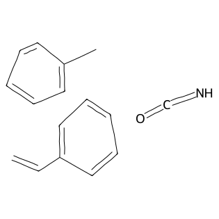 C=Cc1ccccc1.Cc1ccccc1.N=C=O